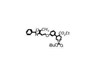 CCOC(=O)C1CCN(C(=O)OCC(C)C)CC1c1cccc(OCCc2nc(-c3ccccc3)oc2C)c1